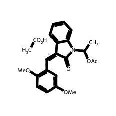 CC(=O)O.COc1ccc(OC)c(/C=C2\C(=O)N(C(C)OC(C)=O)c3ccccc32)c1